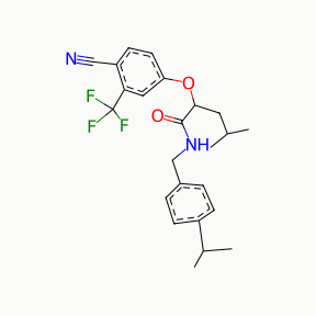 CC(C)CC(Oc1ccc(C#N)c(C(F)(F)F)c1)C(=O)NCc1ccc(C(C)C)cc1